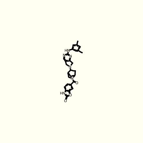 Cc1cc(C)cc(Nc2ncc3c(n2)CN(C2CC4CC2CN4C(=O)c2ccc4[nH]c(=O)oc4c2)C3)c1